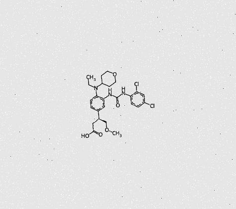 CCN(c1ccc([C@@H](COC)CC(=O)O)cc1NC(=O)Nc1ccc(Cl)cc1Cl)C1CCOCC1